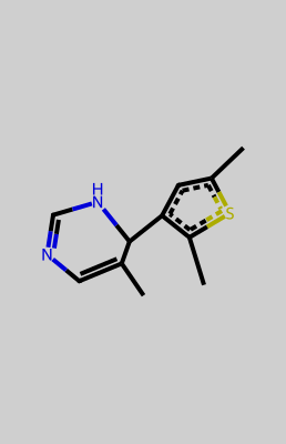 CC1=CN=CNC1c1cc(C)sc1C